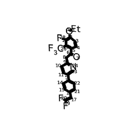 CCOc1ccc(C(=O)Cc2ccc(-c3ccc(C=C(F)F)cc3)cn2)c(C(F)(F)F)c1F